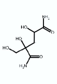 NC(=O)C(O)[CH]C(O)(CO)C(N)=O